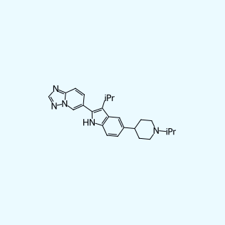 CC(C)c1c(-c2ccc3ncnn3c2)[nH]c2ccc(C3CCN(C(C)C)CC3)cc12